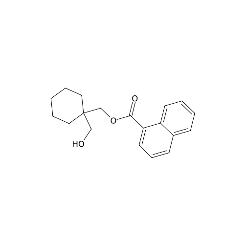 O=C(OCC1(CO)CCCCC1)c1cccc2ccccc12